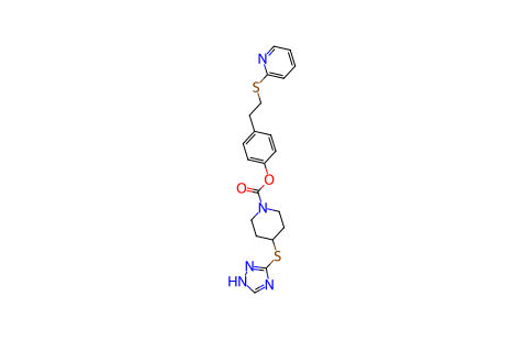 O=C(Oc1ccc(CCSc2ccccn2)cc1)N1CCC(Sc2nc[nH]n2)CC1